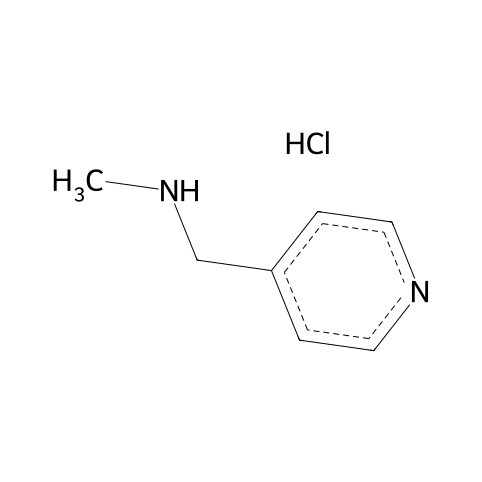 CNCc1ccncc1.Cl